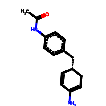 CC(=O)Nc1ccc(C[C@H]2C=CC(N)=CC2)cc1